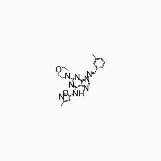 Cc1cccc(C=Nn2cnc3c(Nc4cc(C)no4)nc(N4CCOCC4)nc32)c1